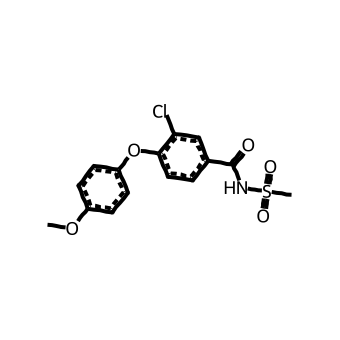 COc1ccc(Oc2ccc(C(=O)NS(C)(=O)=O)cc2Cl)cc1